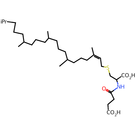 CC(=CCSCC(NC(=O)CCC(=O)O)C(=O)O)CCCC(C)CCCC(C)CCCC(C)CCCC(C)C